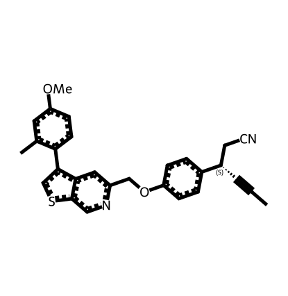 CC#C[C@@H](CC#N)c1ccc(OCc2cc3c(-c4ccc(OC)cc4C)csc3cn2)cc1